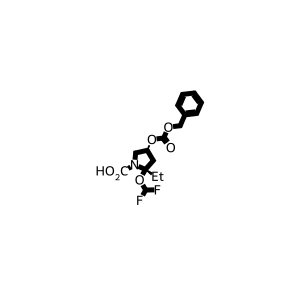 CC[C@]1(OC(F)F)C[C@@H](OC(=O)OCc2ccccc2)CN1C(=O)O